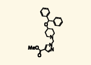 COC(=O)c1cnn(CN2CCC(OC(c3ccccc3)c3ccccc3)CC2)c1